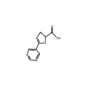 O=C(O)C1CN=C(c2cncnc2)S1